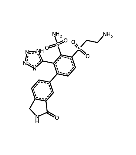 NCCS(=O)(=O)c1ccc(-c2ccc3c(c2)C(=O)NC3)c(-c2nnn[nH]2)c1S(N)(=O)=O